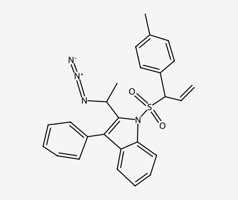 C=CC(c1ccc(C)cc1)S(=O)(=O)n1c(C(C)N=[N+]=[N-])c(-c2ccccc2)c2ccccc21